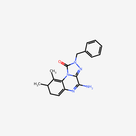 CC1=c2c(nc(N)c3nn(Cc4ccccc4)c(=O)n23)=CCC1C